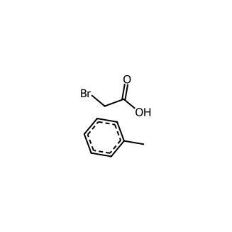 Cc1ccccc1.O=C(O)CBr